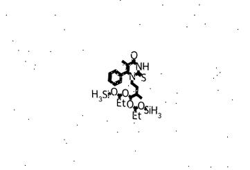 CCC(O[SiH3])OC(OC(CC)O[SiH3])C(C)CCn1c(-c2ccccc2)c(C)c(=O)[nH]c1=S